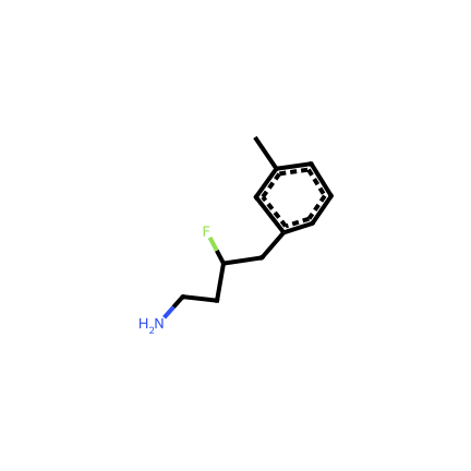 Cc1cccc(CC(F)CCN)c1